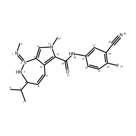 C/N=S1/NC(C(C)C)C=Cc2c1cn(C)c2C(=O)Nc1ccc(F)c(C#N)c1